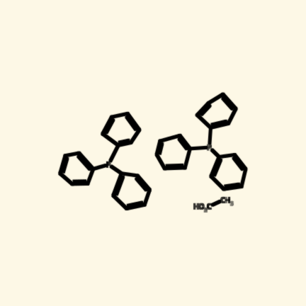 CC(=O)O.c1ccc(P(c2ccccc2)c2ccccc2)cc1.c1ccc(P(c2ccccc2)c2ccccc2)cc1